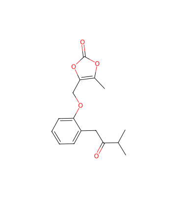 Cc1oc(=O)oc1COc1ccccc1CC(=O)C(C)C